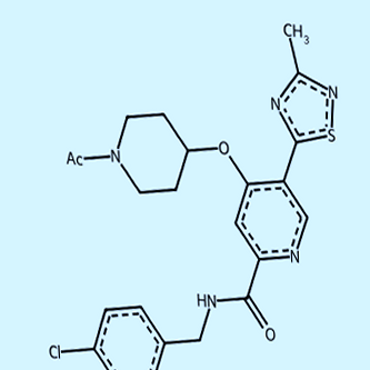 CC(=O)N1CCC(Oc2cc(C(=O)NCc3ccc(Cl)cc3)ncc2-c2nc(C)ns2)CC1